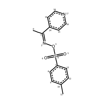 CC(=NOS(=O)(=O)c1ccc(C)cc1)c1ccncc1